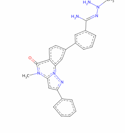 CN(N)/N=C(\N)c1cccc(-c2ccc3c(=O)n(C)c4cc(-c5ccccc5)nn4c3c2)c1